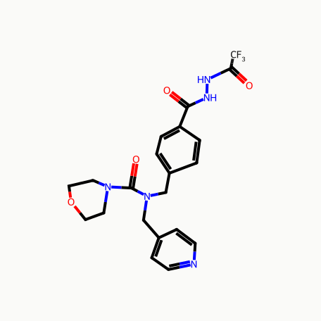 O=C(NNC(=O)C(F)(F)F)c1ccc(CN(Cc2ccncc2)C(=O)N2CCOCC2)cc1